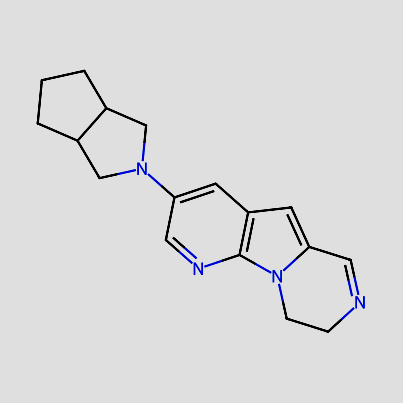 C1=NCCn2c1cc1cc(N3CC4CCCC4C3)cnc12